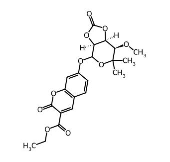 CCOC(=O)c1cc2ccc(OC3OC(C)(C)[C@H](OC)[C@@H]4OC(=O)O[C@H]34)cc2oc1=O